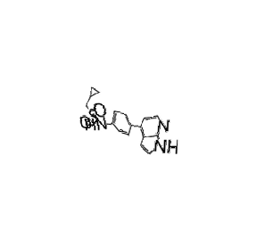 O=S(=O)(CC1CC1)Nc1ccc(-c2ccnc3[nH]ccc23)cc1